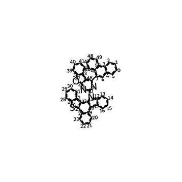 c1ccc2c(c1)cc(-c1nc(-n3c4ccccc4c4c5ccccc5c5sc6ccccc6c5c43)nc3oc4ccccc4c13)c1ccccc12